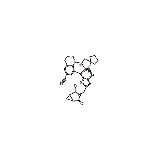 N#Cc1cc2c(c(-c3ccnc4cc(CN5C(=O)C6CC6C5=O)sc34)c1)N([C@@H]1CNC3(CCCC3)C1)CCC2